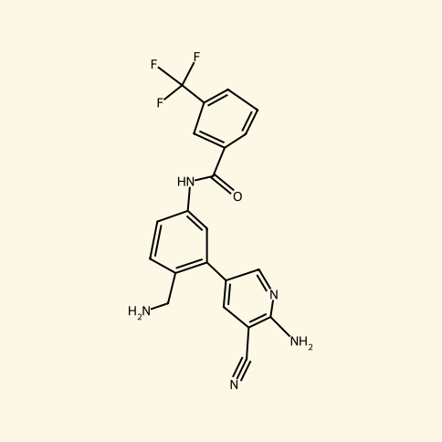 N#Cc1cc(-c2cc(NC(=O)c3cccc(C(F)(F)F)c3)ccc2CN)cnc1N